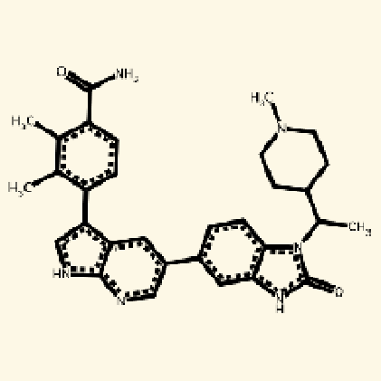 Cc1c(C(N)=O)ccc(-c2c[nH]c3ncc(-c4ccc5c(c4)[nH]c(=O)n5C(C)C4CCN(C)CC4)cc23)c1C